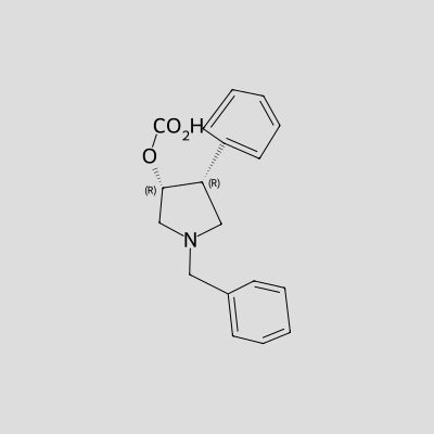 O=C(O)O[C@H]1CN(Cc2ccccc2)C[C@H]1c1ccccc1